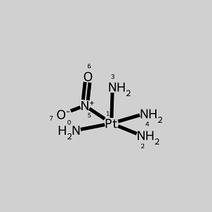 [NH2][Pt]([NH2])([NH2])([NH2])[N+](=O)[O-]